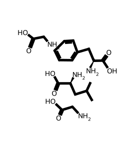 CC(C)C[C@H](N)C(=O)O.NCC(=O)O.NCC(=O)O.N[C@@H](Cc1ccccc1)C(=O)O